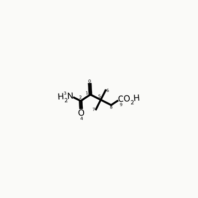 C=C(C(N)=O)C(C)(C)CC(=O)O